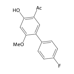 COc1cc(O)c(C(C)=O)cc1-c1ccc(F)cc1